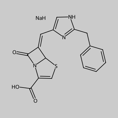 O=C(O)C1=CSC2C(=Cc3c[nH]c(Cc4ccccc4)n3)C(=O)N12.[NaH]